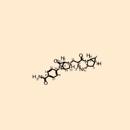 N#C[C@@H]1C[C@@H]2C[C@@H]2N1C(=O)[C@@H](N)CN1CC2C[C@H]1C(=O)N2c1ccc(C(N)=O)cc1